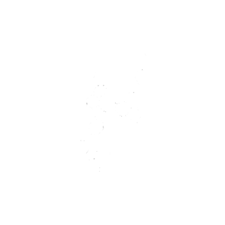 CC1(C)C2=C(CCC=C2)C2=C1C(c1ccc3c(c1)c1ccc4c5c(sc4c1n3-c1nc(C3=CC=C(C4=CC=CCC4)CC3)c3ccccc3n1)CCC=C5)=CCC2